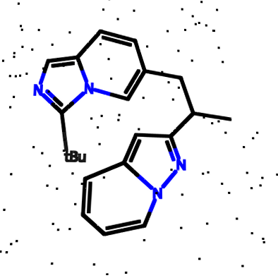 CC(Cc1ccc2cnc(C(C)(C)C)n2c1)c1cc2ccccn2n1